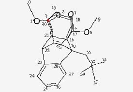 COC(=O)C1=C(C(=O)OC)C2(CC(C)(C)C)c3ccccc3C1c1ccccc12